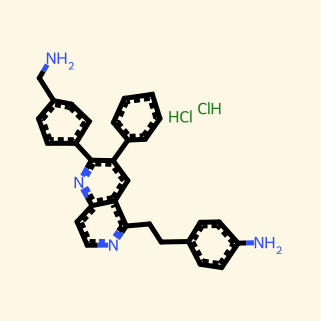 Cl.Cl.NCc1ccc(-c2nc3ccnc(CCc4ccc(N)cc4)c3cc2-c2ccccc2)cc1